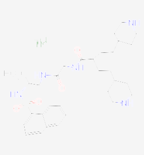 Cl.Cl.O=C(CNC(=O)C(CCC1CCNCC1)CCC1CCNCC1)NCC(NS(=O)(=O)c1cccc2ccccc12)C(=O)O